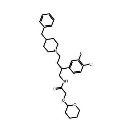 O=C(COC1CCCCO1)NCC(CCN1CCC(Cc2ccccc2)CC1)c1ccc(Cl)c(Cl)c1